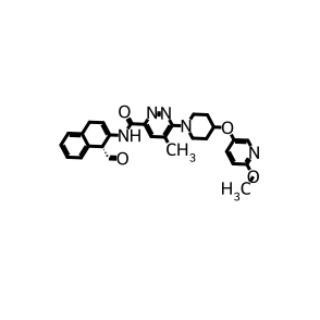 COc1ccc(OC2CCN(c3nnc(C(=O)NC4=CCc5ccccc5[C@H]4C=O)cc3C)CC2)cn1